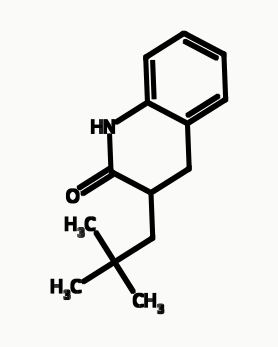 CC(C)(C)CC1Cc2ccccc2NC1=O